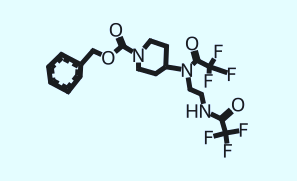 O=C(OCc1ccccc1)N1CCC(N(CCNC(=O)C(F)(F)F)C(=O)C(F)(F)F)CC1